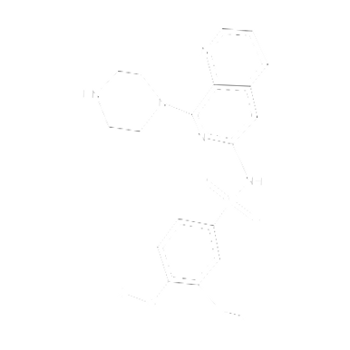 COc1ccc(S(=O)(=O)Nc2cc3cccnc3c(N3CCNCC3)n2)cc1OC